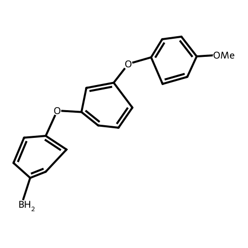 Bc1ccc(Oc2cccc(Oc3ccc(OC)cc3)c2)cc1